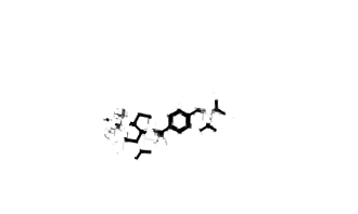 CC(C)[C@H]1C(=O)N(S(C)(=O)=O)[C@H]2CCN(C(=O)c3ccc(CN(C(C)C)C(C)C)cc3)[C@H]12